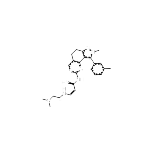 Cc1cccc(-c2c3c(nn2C)CCc2cnc(NC(=N)/C=C\NCCN(C)C)nc2-3)c1